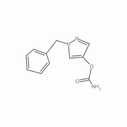 NC(=O)Oc1cnn(Cc2ccccc2)c1